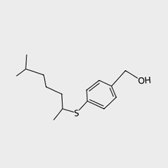 CC(C)CCCC(C)Sc1ccc(CO)cc1